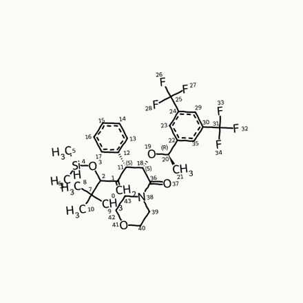 C=C(C(O[SiH](C)C)C(C)(C)C)[C@H](c1ccccc1)[C@H](O[C@H](C)c1cc(C(F)(F)F)cc(C(F)(F)F)c1)C(=O)N1CCOCC1